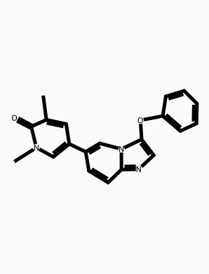 Cc1cc(-c2ccc3ncc(Oc4ccccc4)n3c2)cn(C)c1=O